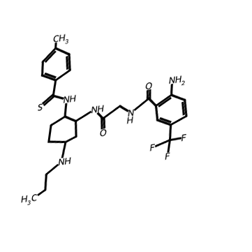 CCCNC1CCC(NC(=S)c2ccc(C)cc2)C(NC(=O)CNC(=O)c2cc(C(F)(F)F)ccc2N)C1